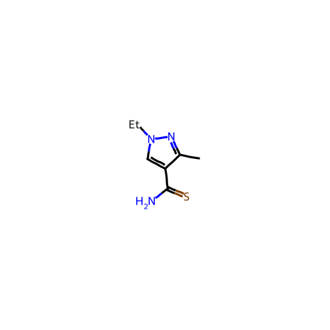 CCn1cc(C(N)=S)c(C)n1